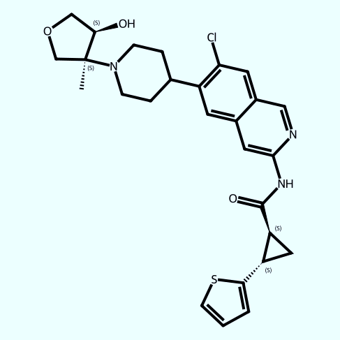 C[C@]1(N2CCC(c3cc4cc(NC(=O)[C@H]5C[C@@H]5c5cccs5)ncc4cc3Cl)CC2)COC[C@H]1O